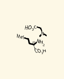 CN(C)CC(=O)O.CSCC[C@H](N)C(=O)O